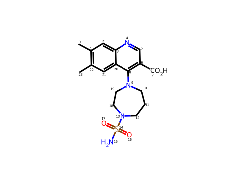 Cc1cc2ncc(C(=O)O)c(N3CCCN(S(N)(=O)=O)CC3)c2cc1C